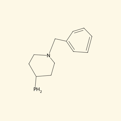 PC1CCN(Cc2ccccc2)CC1